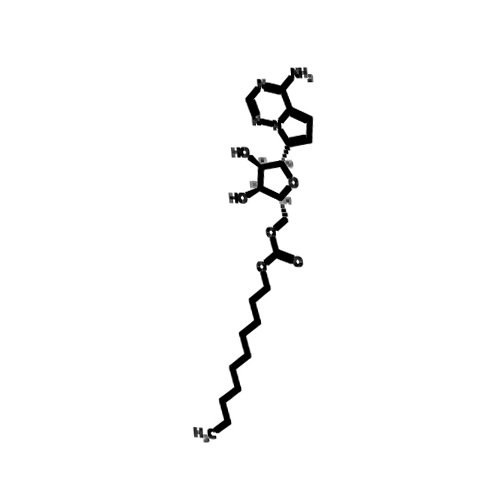 CCCCCCCCCCOC(=O)OC[C@H]1O[C@@H](c2ccc3c(N)ncnn23)[C@H](O)[C@@H]1O